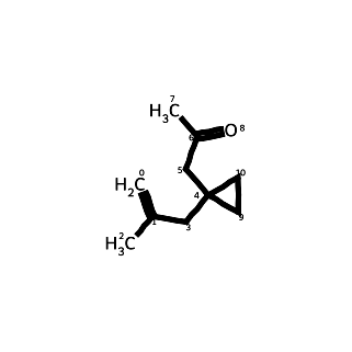 C=C(C)CC1(CC(C)=O)CC1